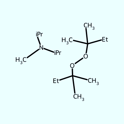 CC(C)N(C)C(C)C.CCC(C)(C)OOC(C)(C)CC